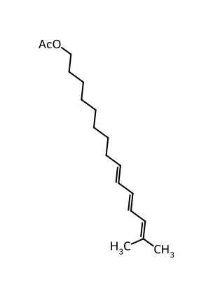 CC(=O)OCCCCCCCCC=CC=CC=C(C)C